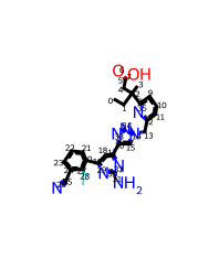 CCC(C)(CC(=O)O)c1cccc(Cn2cc(-c3cc(-c4cccc(C#N)c4F)nc(N)n3)nn2)n1